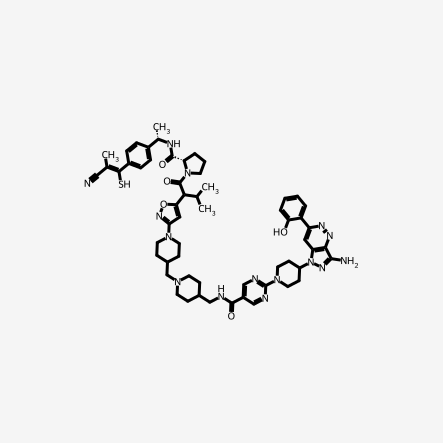 C/C(C#N)=C(/S)c1ccc([C@H](C)NC(=O)[C@@H]2CCCN2C(=O)C(c2cc(N3CCC(CN4CCC(CNC(=O)c5cnc(N6CCC(n7nc(N)c8nnc(-c9ccccc9O)cc87)CC6)nc5)CC4)CC3)no2)C(C)C)cc1